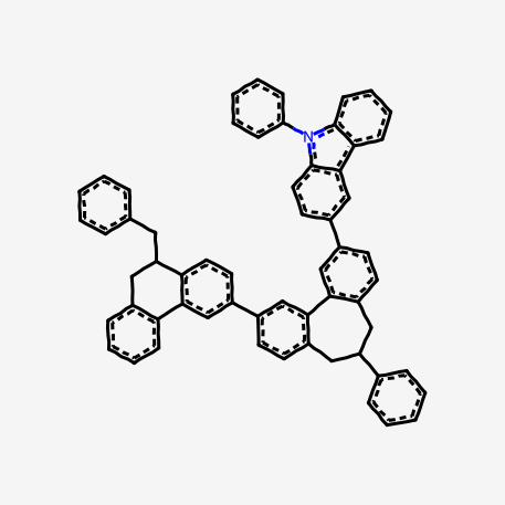 c1ccc(CC2Cc3ccccc3-c3cc(-c4ccc5c(c4)-c4cc(-c6ccc7c(c6)c6ccccc6n7-c6ccccc6)ccc4CC(c4ccccc4)C5)ccc32)cc1